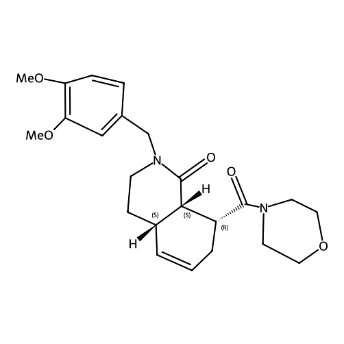 COc1ccc(CN2CC[C@H]3C=CC[C@@H](C(=O)N4CCOCC4)[C@H]3C2=O)cc1OC